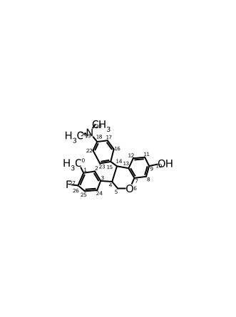 Cc1cc(C2COc3cc(O)ccc3C2c2ccc(N(C)C)cc2)ccc1F